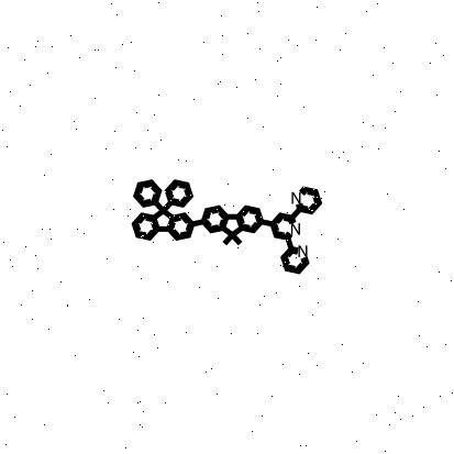 CC1(C)c2cc(-c3cc(-c4ccccn4)nc(-c4ccccn4)c3)ccc2-c2ccc(-c3ccc4c(c3)C(c3ccccc3)(c3ccccc3)c3ccccc3-4)cc21